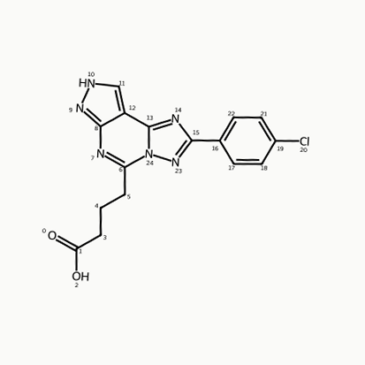 O=C(O)CCCc1nc2n[nH]cc2c2nc(-c3ccc(Cl)cc3)nn12